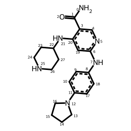 NC(=O)c1cnc(Nc2ccc(N3CCCC3)cc2)cc1NC1CCNCC1